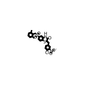 Cc1cccc(C)c1CS(=O)(=O)c1ccc2c(c1)NC(=O)/C(=C/c1ccc(Cl)c([N+](=O)[O-])c1)S2